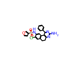 Nc1nc2c(c(-c3ccccc3)n1)-c1cc(NS(=O)(=O)c3ccoc3)c(Cl)cc1CC2